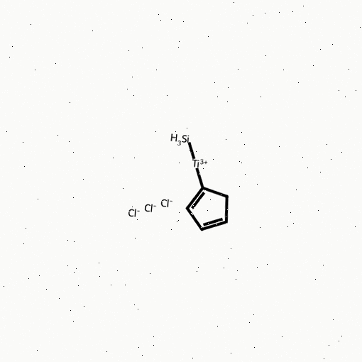 [Cl-].[Cl-].[Cl-].[SiH3][Ti+3][C]1=CC=CC1